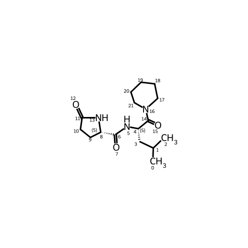 CC(C)C[C@H](NC(=O)[C@@H]1CCC(=O)N1)C(=O)N1CCCCC1